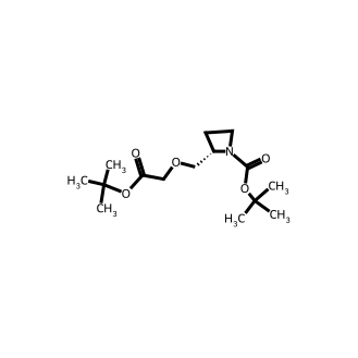 CC(C)(C)OC(=O)COC[C@@H]1CCN1C(=O)OC(C)(C)C